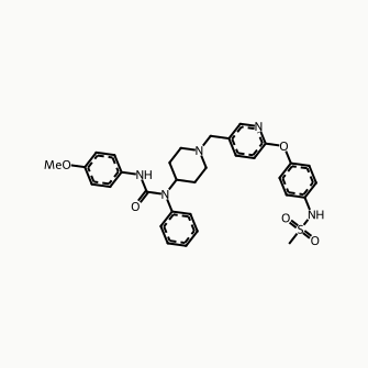 COc1ccc(NC(=O)N(c2ccccc2)C2CCN(Cc3ccc(Oc4ccc(NS(C)(=O)=O)cc4)nc3)CC2)cc1